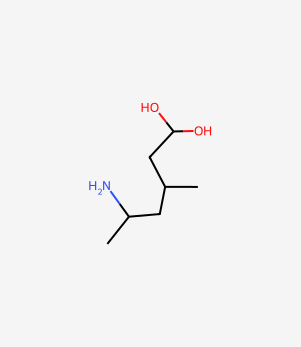 CC(N)CC(C)CC(O)O